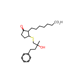 CC(O)(CCc1ccccc1)CSC1CCC(=O)C1CCCCCCC(=O)O